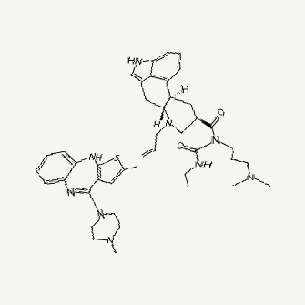 C=CCN1C[C@H](C(=O)N(CCCN(C)C)C(=O)NCC)C[C@@H]2c3cccc4[nH]cc(c34)C[C@H]21.Cc1cc2c(s1)Nc1ccccc1N=C2N1CCN(C)CC1